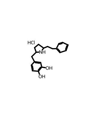 Cl.Oc1ccc(CC2CCC(CCc3ccccc3)N2)cc1O